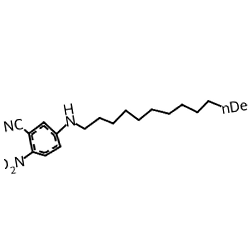 CCCCCCCCCCCCCCCCCCCCNc1ccc([N+](=O)[O-])c(C#N)c1